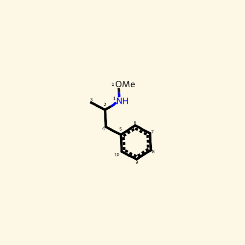 CONC(C)Cc1ccccc1